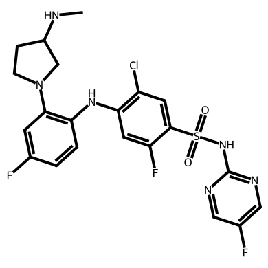 CNC1CCN(c2cc(F)ccc2Nc2cc(F)c(S(=O)(=O)Nc3ncc(F)cn3)cc2Cl)C1